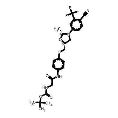 C[C@H]1O[C@H](COc2ccc(NC(=O)CNC(=O)OC(C)(C)C)cc2)CN1c1ccc(C#N)c(C(F)(F)F)c1